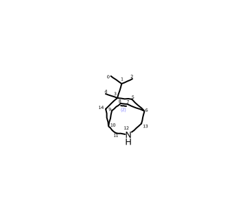 CC(C)C1(C)CC2/C=C\CC(CNC2)C1